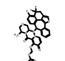 COC(=O)OCOc1c2n(ccc1=O)N(C1c3ccccc3-c3scc4c3-c3c1ccc(F)c3C(F)(F)C4)C1COCC(C)N1C2=O